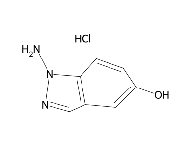 Cl.Nn1ncc2cc(O)ccc21